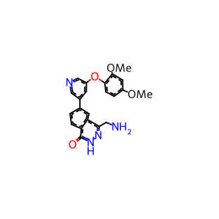 COc1ccc(Oc2cncc(-c3ccc4c(=O)[nH]nc(CN)c4c3)c2)c(OC)c1